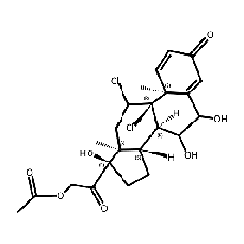 CC(=O)OCC(=O)[C@@]1(O)CC[C@H]2[C@@H]3C(O)C(O)C4=CC(=O)C=C[C@]4(C)[C@@]3(Cl)C(Cl)C[C@@]21C